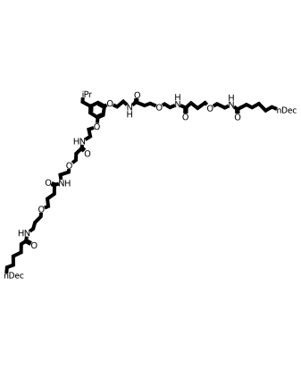 CCCCCCCCCCCCCCCC(=O)NCCCOCCCC(=O)NCCOCCC(=O)NCCOc1cc(CC(C)C)cc(OCCNC(=O)CCOCCNC(=O)CCCOCCNC(=O)CCCCCCCCCCCCCCC)c1